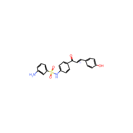 Nc1cccc(S(=O)(=O)Nc2ccc(C(=O)/C=C/c3ccc(O)cc3)cc2)c1